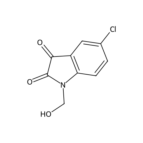 O=C1C(=O)N(CO)c2ccc(Cl)cc21